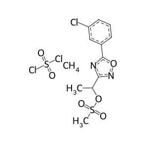 C.CC(OS(C)(=O)=O)c1noc(-c2cccc(Cl)c2)n1.O=S(=O)(Cl)Cl